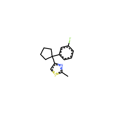 Cc1nc(C2(c3cccc(F)c3)CCCC2)cs1